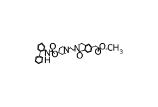 CCOC(=O)Cc1ccc2c(c1)CCN(CCN1CCC(OC(=O)Nc3ccccc3-c3ccccc3)CC1)C2=O